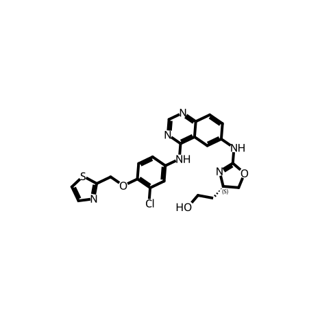 OCC[C@H]1COC(Nc2ccc3ncnc(Nc4ccc(OCc5nccs5)c(Cl)c4)c3c2)=N1